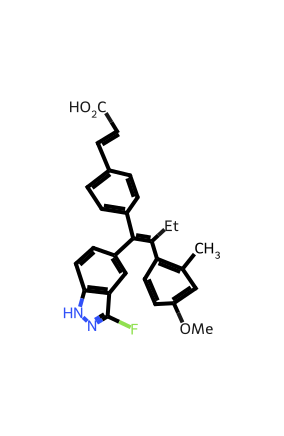 CCC(=C(c1ccc(C=CC(=O)O)cc1)c1ccc2[nH]nc(F)c2c1)c1ccc(OC)cc1C